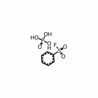 O=P(O)(O)O.O=S(=O)(F)c1ccccc1